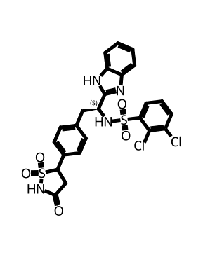 O=C1CC(c2ccc(C[C@H](NS(=O)(=O)c3cccc(Cl)c3Cl)c3nc4ccccc4[nH]3)cc2)S(=O)(=O)N1